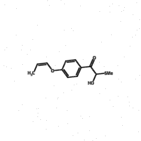 C/C=C\Oc1ccc(C(=O)C(O)SC)cc1